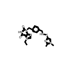 CCn1cnc2c1c(=O)[nH]c(=O)n2Cc1ccc(CNSc2cn(C)c(C)n2)cc1